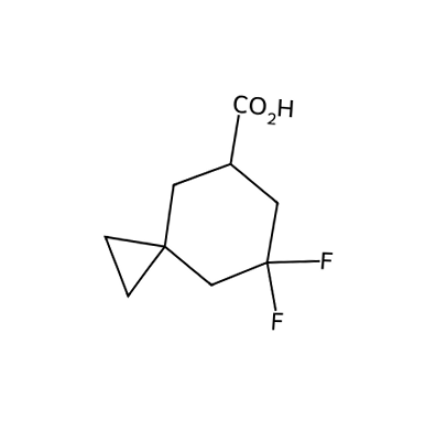 O=C(O)C1CC(F)(F)CC2(CC2)C1